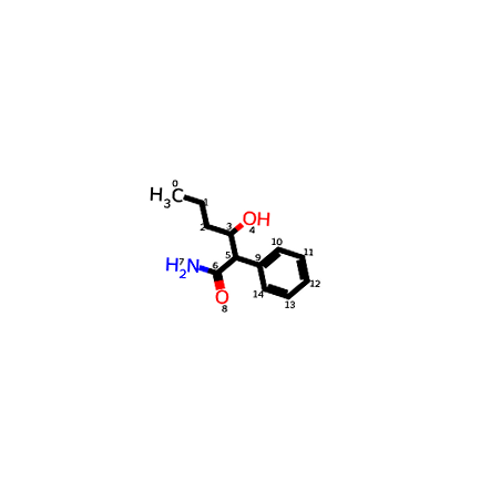 CCCC(O)C(C(N)=O)c1ccccc1